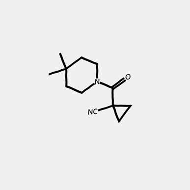 CC1(C)CCN(C(=O)C2(C#N)CC2)CC1